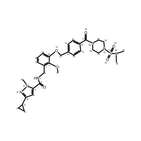 COc1c(CNC(=O)c2cc(C3CC3)nn2C)cccc1OCc1ccc(C(=O)N2CCN(S(=O)(=O)N(C)C)CC2)cc1